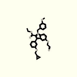 CCOC(=O)c1c(-c2cccc(OCC3CC3)c2)c2cc(OCC=O)ccc2n1Cc1cccc(OC)c1